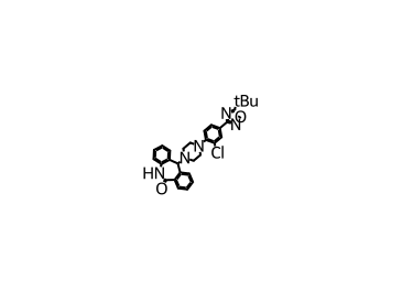 CC(C)(C)c1nc(-c2ccc(N3CCN(C4c5ccccc5NC(=O)c5ccccc54)CC3)c(Cl)c2)no1